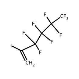 C=C(I)C(F)(F)C(F)(F)C(F)(F)C(F)(F)F